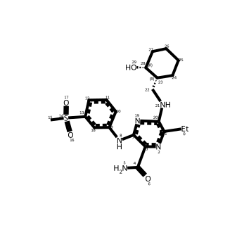 CCc1nc(C(N)=O)c(Nc2cccc(S(C)(=O)=O)c2)nc1NC[C@H]1CCCC[C@H]1O